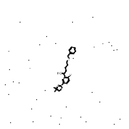 CC1(C)COC(c2ccc(Br)c(C(O)CCCCOCc3ccccc3)c2)=N1